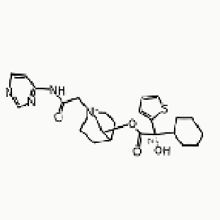 O=C(C[N+]12CCC(CC1)C(OC(=O)[C@@](O)(c1cccs1)C1CCCCC1)C2)Nc1ccncn1